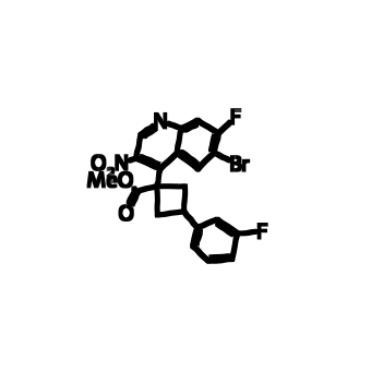 COC(=O)C1(c2c([N+](=O)[O-])cnc3cc(F)c(Br)cc23)CC(c2cccc(F)c2)C1